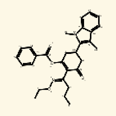 CCC/C(=N\OCC)C1=C(OC(=O)c2ccccc2)CC(c2c(C)c3ccccc3n2C)CC1=O